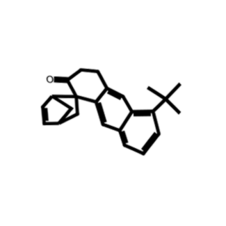 CC(C)(C)c1cccc2cc3c(cc12)CCC(=O)C31CC2C=CC1C2